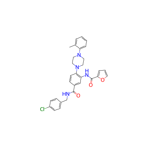 Cc1ccccc1N1CCN(c2ccc(C(=O)NCc3ccc(Cl)cc3)cc2NC(=O)c2ccco2)CC1